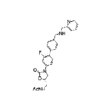 CC(=O)NC[C@H]1CN(c2ccc(-c3ccc(CNCc4ccccn4)cc3)c(F)c2)C(=O)O1